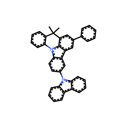 CC1(C)c2ccccc2-n2c3ccc(-n4c5ccccc5c5ccccc54)cc3c3cc(-c4ccccc4)cc1c32